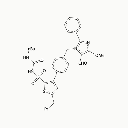 CCCCNC(=O)NS(=O)(=O)c1sc(CC(C)C)cc1-c1ccc(Cn2c(-c3ccccc3)nc(OC)c2C=O)cc1